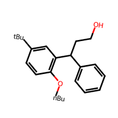 CCCCOc1ccc(C(C)(C)C)cc1C(CCO)c1ccccc1